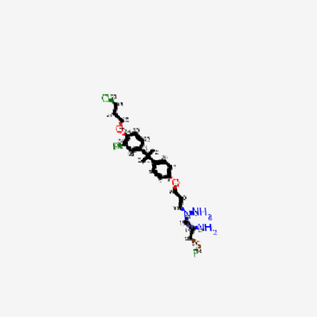 CC(C)(c1ccc(OCCCN(N)/C=C(\N)CSF)cc1)c1ccc(OCCCCl)c(F)c1